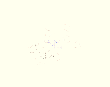 c1ccc(-c2cc(-c3ccccc3)cc(-c3nc(-c4ccccc4)nc(-n4c5ccccc5c5ccc6c(c54)-c4ccccc4C64c5ccccc5-c5ccccc54)n3)c2)cc1